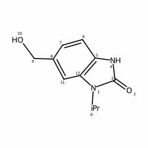 CC(C)n1c(=O)[nH]c2ccc(CO)cc21